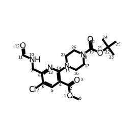 COC(=O)c1cc(Cl)c(CNC=O)nc1N1CCN(C(=O)OC(C)(C)C)CC1